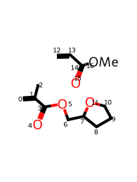 C=C(C)C(=O)OCC1CCCO1.C=CC(=O)OC